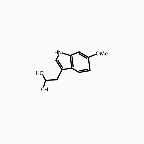 COc1ccc2c(CC(C)O)c[nH]c2c1